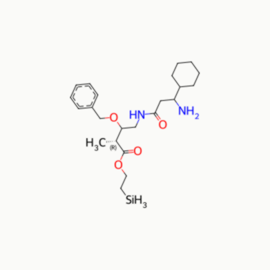 C[C@@H](C(=O)OCC[SiH3])C(CNC(=O)CC(N)C1CCCCC1)OCc1ccccc1